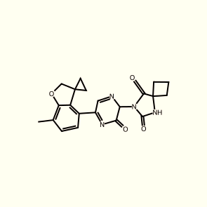 Cc1ccc(C2=NC(=O)C(N3C(=O)NC4(CCC4)C3=O)N=C2)c2c1OCC21CC1